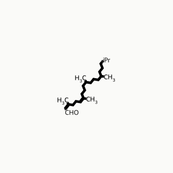 CC(=CC=O)CCC=C(C)CCCC(C)CCCC(C)CCCC(C)C